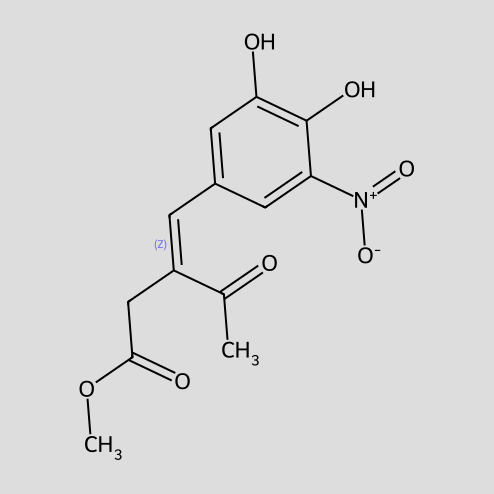 COC(=O)C/C(=C/c1cc(O)c(O)c([N+](=O)[O-])c1)C(C)=O